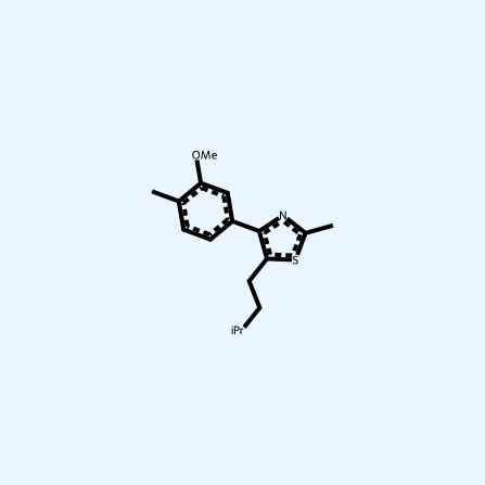 COc1cc(-c2nc(C)sc2CCC(C)C)ccc1C